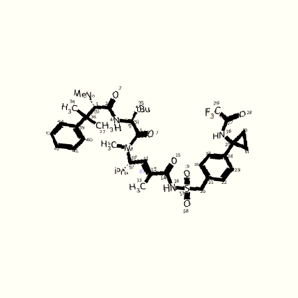 CN[C@H](C(=O)N[C@H](C(=O)N(C)[C@H](/C=C(\C)C(=O)NS(=O)(=O)Cc1ccc(C2(NC(=O)C(F)(F)F)CC2)cc1)C(C)C)C(C)(C)C)C(C)(C)c1ccccc1